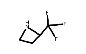 FC(F)(F)C1CCN1